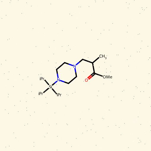 COC(=O)C(C)CN1CCN([Si](C(C)C)(C(C)C)C(C)C)CC1